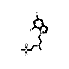 CN(CCn1ccc2cc(F)cc(F)c21)CCS(C)(=O)=O